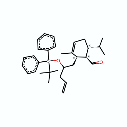 C=CCC(C[C@H]1C(C)=CC[C@H](C(C)C)[C@H]1C=O)O[Si](c1ccccc1)(c1ccccc1)C(C)(C)C